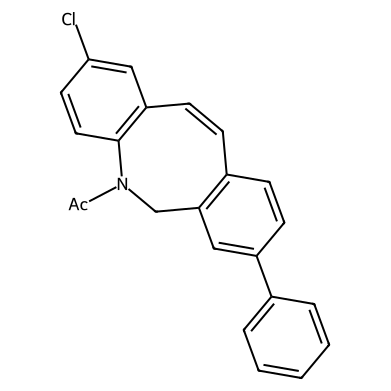 CC(=O)N1Cc2cc(-c3ccccc3)ccc2/C=C\c2cc(Cl)ccc21